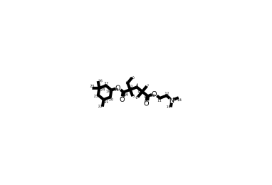 CCC(C)(CC(C)(C)C(=O)OCCN(C)C)C(=O)OC1CC(C)CC(C)(C)C1